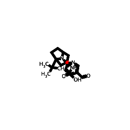 CC(C)(C)C12CCC(CC(NC(=O)O)C1)N2c1ccc(C=O)cn1